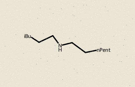 CCCCCCCNCCC(C)CC